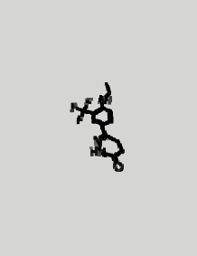 CCNc1ccc(C2=NNC(=O)CC2)cc1C(F)(F)F